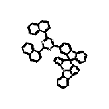 c1ccc2c(c1)-c1ccc(-c3nc(-c4cccc5ccccc45)nc(-c4cccc5ccccc45)n3)cc1C21c2ccccc2-n2c3ccccc3c3cccc1c32